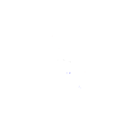 O=C(NI)NCCOC(=O)I